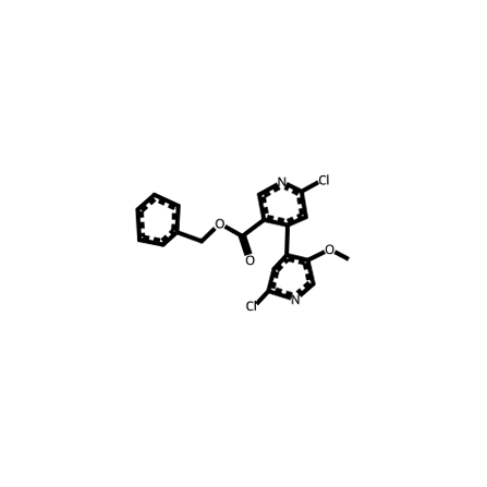 COc1cnc(Cl)cc1-c1cc(Cl)ncc1C(=O)OCc1ccccc1